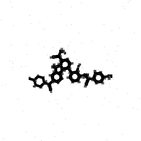 CN1CCN(C(=O)c2ccc3c(c2)[nH]c2c(C(N)=O)ccc(-c4cccc(NC(=O)c5ccc(C#N)cn5)c4F)c23)CC1